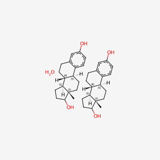 C[C@]12CC[C@@H]3c4ccc(O)cc4CC[C@H]3[C@@H]1CCC2O.C[C@]12CC[C@@H]3c4ccc(O)cc4CC[C@H]3[C@@H]1CCC2O.O